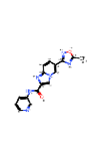 O=C(Nc1cccnc1)c1cn2cc(-c3noc(C(F)(F)F)n3)ccc2n1